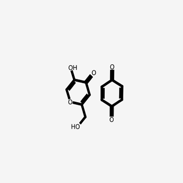 O=C1C=CC(=O)C=C1.O=c1cc(CO)occ1O